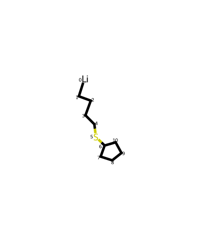 [Li][CH2]CCCSC1CCCC1